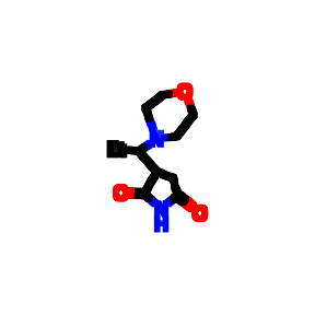 CCC(C1CC(=O)NC1=O)N1CCOCC1